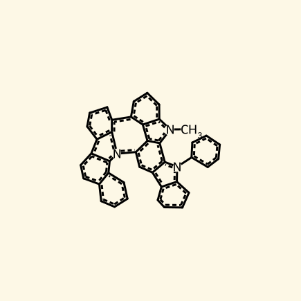 Cn1c2cccc3c4cccc5c6ccc7ccccc7c6n(c6cc7c8ccccc8n(-c8ccccc8)c7c1c6c32)c45